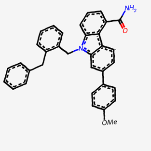 COc1ccc(-c2c[c]c3c4c(C(N)=O)cccc4n(Cc4ccccc4Cc4ccccc4)c3c2)cc1